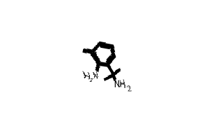 Cc1cccc(C(C)(C)N)c1N